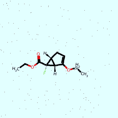 CCOC(=O)[C@@]1(F)[C@@H]2CC=C(O[SiH2]C)[C@@H]21